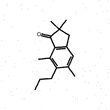 CCCc1c(C)cc2c(c1C)C(=O)C(C)(C)C2